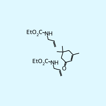 C=CCNC(=O)OCC.C=CCNC(=O)OCC.CC1=CC(=O)CC(C)(C)C1